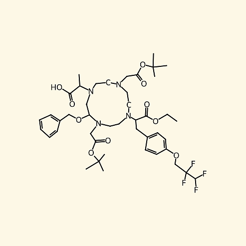 CCOC(=O)C(Cc1ccc(OCC(F)(F)C(F)F)cc1)N1CCN(CC(=O)OC(C)(C)C)CCN(C(C)C(=O)O)CC(OCc2ccccc2)N(CC(=O)OC(C)(C)C)CC1